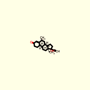 C#C[C@]1(O)CC[C@H]2[C@@H]3C[C@H](C)C4=CC(=O)CC[C@@H]4[C@H]3CC[C@@]21CC